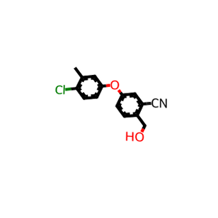 Cc1cc(Oc2ccc(CO)c(C#N)c2)ccc1Cl